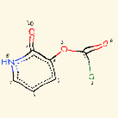 O=C(Cl)Oc1ccc[nH]c1=O